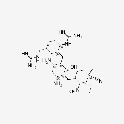 CC[C@@H]1C(N=O)C(C[C@@H]2[C@@H](O)[C@H](C[C@H]3CC(CNC(=N)N)=CC[C@H]3NC(=N)N)[C@@H](N)C[C@H]2N)CC[C@]1(C)C#N